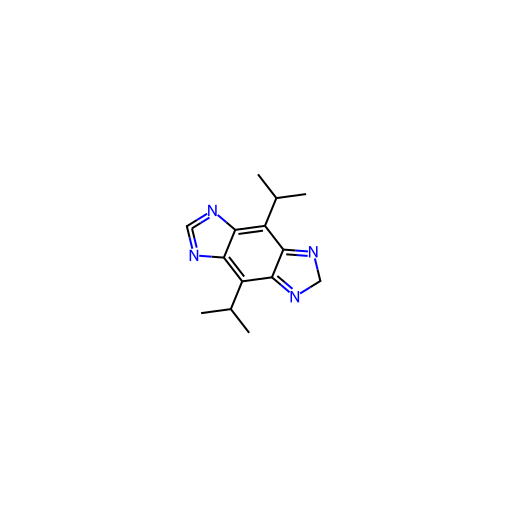 CC(C)c1c2c(c(C(C)C)c3c1=NCN=3)N=C=N2